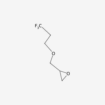 FC(F)(F)CCOCC1CO1